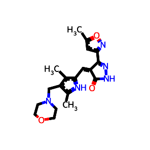 Cc1cc(C2=NNC(=O)C2=Cc2[nH]c(C)c(CN3CCOCC3)c2C)no1